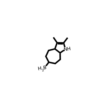 BC1CCC2NC(C)=C(C)C2CC1